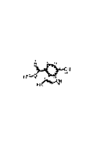 CC=CCC.CCCOC(=O)c1ccc(O)cc1